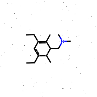 CCC1=CC(CC)=C(C)C(CN(C)C)C1C